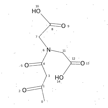 CC(=O)CC(=O)N(CC(=O)O)CC(=O)O